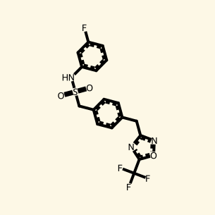 O=S(=O)(Cc1ccc(Cc2noc(C(F)(F)F)n2)cc1)Nc1cccc(F)c1